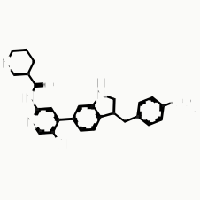 O=C(O)c1ccc(CC2CNc3cc(-c4cc(NC(=O)C5CCCNC5)ncc4Cl)ccc32)cc1